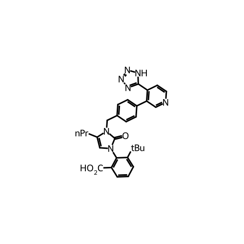 CCCc1cn(-c2c(C(=O)O)cccc2C(C)(C)C)c(=O)n1Cc1ccc(-c2cnccc2-c2nnn[nH]2)cc1